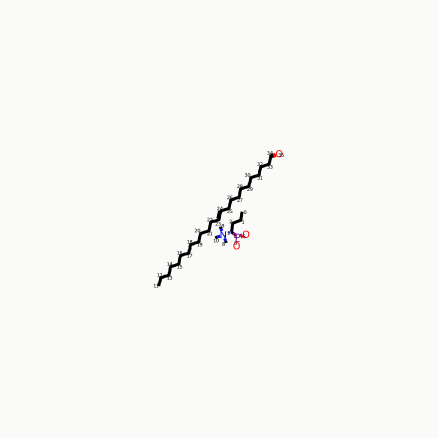 CCCC(P(=O)=O)[N+](C)(C)C.CCCCCCCCCCCCC=CCCCCCCCCCC=O